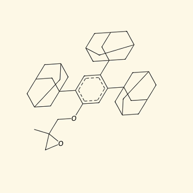 CC1(COc2cc(C34CC5CC(CC(C5)C3)C4)c(C34CC5CC(CC(C5)C3)C4)cc2C23CC4CC(CC(C4)C2)C3)CO1